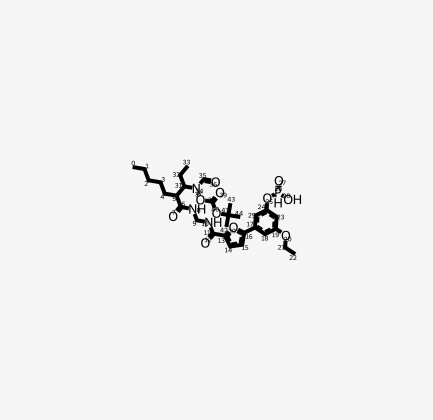 CCCCCC(C(=O)NCNC(=O)c1ccc(-c2cc(OCC)cc(O[PH](=O)O)c2)o1)C(CC)N(C=O)OC(=O)OC(C)(C)C